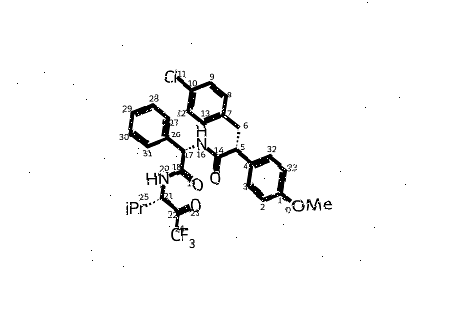 COc1ccc([C@@H](Cc2ccc(Cl)cc2)C(=O)N[C@H](C(=O)N[C@H](C(=O)C(F)(F)F)C(C)C)c2ccccc2)cc1